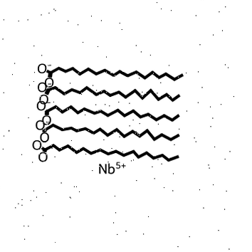 CCCCCCCCCCCCCCCCCC(=O)[O-].CCCCCCCCCCCCCCCCCC(=O)[O-].CCCCCCCCCCCCCCCCCC(=O)[O-].CCCCCCCCCCCCCCCCCC(=O)[O-].CCCCCCCCCCCCCCCCCC(=O)[O-].[Nb+5]